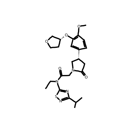 CCN(C(=O)CN1C[C@H](c2ccc(OC)c(O[C@@H]3CCOC3)c2)CC1=O)c1nc(C(C)C)ns1